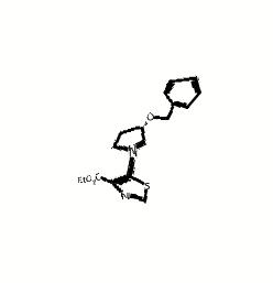 CCOC(=O)c1ncsc1N1CC[C@H](OCc2ccccc2)C1